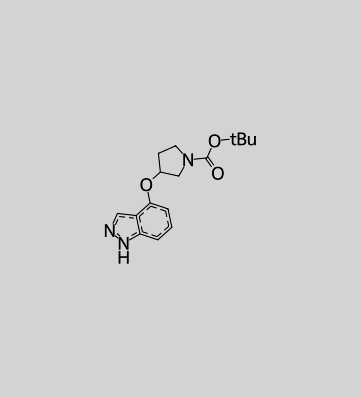 CC(C)(C)OC(=O)N1CCC(Oc2cccc3[nH]ncc23)C1